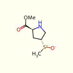 COC(=O)[C@@H]1C[C@@H]([S+](C)[O-])CN1